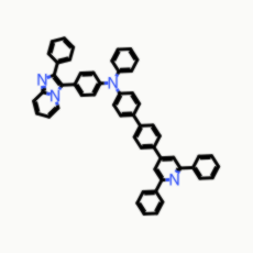 c1ccc(-c2cc(-c3ccc(-c4ccc(N(c5ccccc5)c5ccc(-c6c(-c7ccccc7)nc7ccccn67)cc5)cc4)cc3)cc(-c3ccccc3)n2)cc1